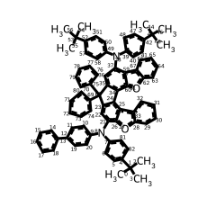 CC(C)(C)c1ccc(N(c2ccc(-c3ccccc3)cc2)c2cc3c(c4c2oc2ccccc24)-c2c(cc(N(c4ccc(C(C)(C)C)cc4)c4ccc(C(C)(C)C)cc4)c4c2oc2ccccc24)C3(c2ccccc2)c2ccccc2)cc1